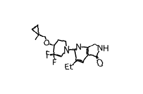 CCc1cc2c(nc1N1CC[C@H](OCC3(C)CC3)C(F)(F)C1)CNC2=O